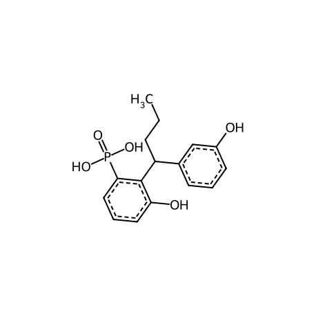 CCCC(c1cccc(O)c1)c1c(O)cccc1P(=O)(O)O